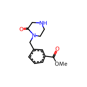 COC(=O)c1cccc(CN2CCNCC2=O)c1